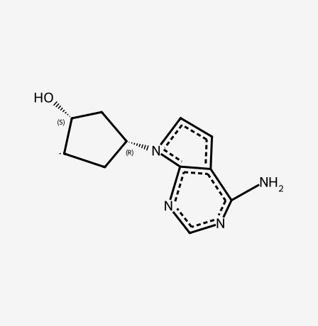 Nc1ncnc2c1ccn2[C@@H]1C[CH][C@H](O)C1